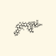 Cc1cc(CNC[C@H](O)[C@@H](O)[C@H](O)[C@H](O)CO)c(OCc2ccc(F)cc2F)cc1OCc1cccc(-c2ccc3c(c2)OCCO3)c1C